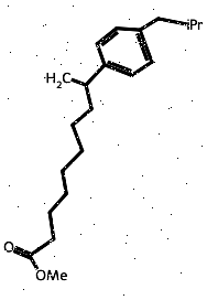 [CH2]C(CCCCCCCC(=O)OC)c1ccc(CC(C)C)cc1